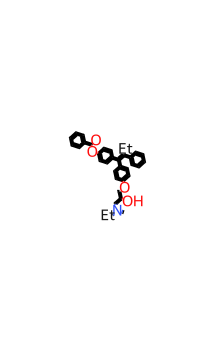 CCC(=C(c1ccc(OCC(O)CN(C)CC)cc1)c1ccc(OC(=O)c2ccccc2)cc1)c1ccccc1